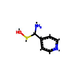 NC(SO)c1ccncc1